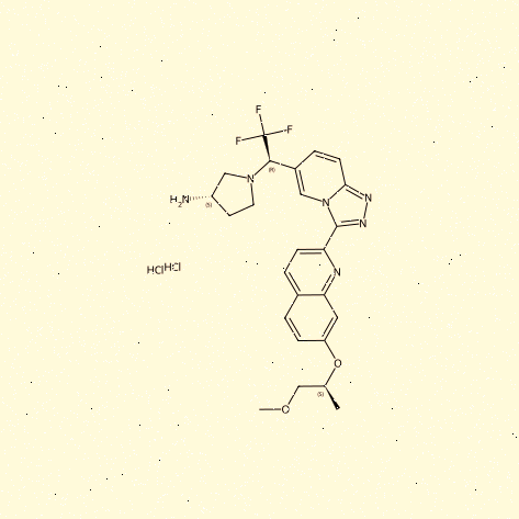 COC[C@H](C)Oc1ccc2ccc(-c3nnc4ccc([C@@H](N5CC[C@H](N)C5)C(F)(F)F)cn34)nc2c1.Cl.Cl